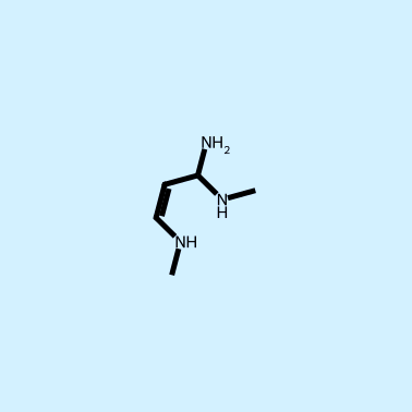 CN/C=C\C(N)NC